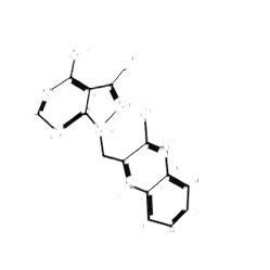 Nc1ncnc2c1c(I)nn2Cc1nc2ccccc2nc1Cl